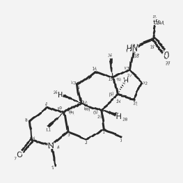 CC1CC2N(C)C(=O)CC[C@]2(C)[C@@H]2CC[C@]3(C)C(NC(=O)C(C)(C)C)CC[C@H]3[C@H]12